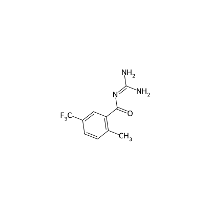 Cc1ccc(C(F)(F)F)cc1C(=O)N=C(N)N